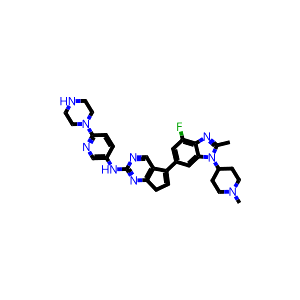 Cc1nc2c(F)cc(C3=CCc4nc(Nc5ccc(N6CCNCC6)nc5)ncc43)cc2n1C1CCN(C)CC1